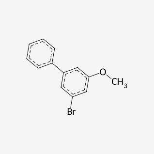 COc1cc(Br)cc(-c2ccccc2)c1